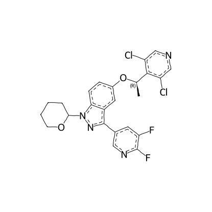 C[C@@H](Oc1ccc2c(c1)c(-c1cnc(F)c(F)c1)nn2C1CCCCO1)c1c(Cl)cncc1Cl